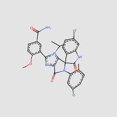 COc1ccc(C(N)=O)cc1-c1nc2c(n1C(C)C)C1(C(=O)Nc3cc(Cl)ccc31)N(c1cc(Cl)ccc1C)C2=O